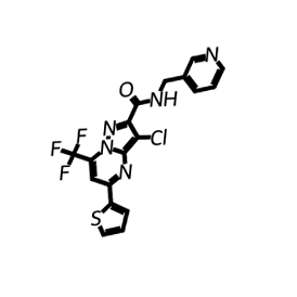 O=C(NCc1cccnc1)c1nn2c(C(F)(F)F)cc(-c3cccs3)nc2c1Cl